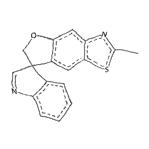 Cc1nc2cc3c(cc2s1)C1(C=Nc2ccccc21)CO3